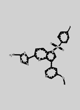 COc1cncc(-c2cn(S(=O)(=O)c3ccc(C)cc3)c3ccc(-c4nnc(N)o4)nc23)c1